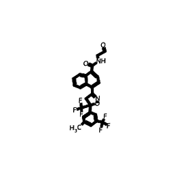 Cc1cc(C(F)(F)F)cc(C2(C(F)(F)F)CC(c3ccc(C(=O)NCC=O)c4ccccc34)=NO2)c1